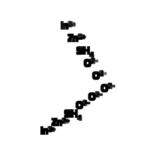 [In+3].[In+3].[O-2].[O-2].[O-2].[O-2].[O-2].[SiH4].[SiH4].[Zn+2].[Zn+2]